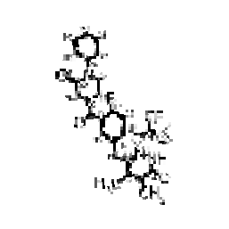 Cc1c(C)c(=O)[nH][n+](OC(=O)C(F)(F)F)c1Cc1ccc(F)c(C(=O)N2CCN(c3ccccc3)C(=O)C2)c1